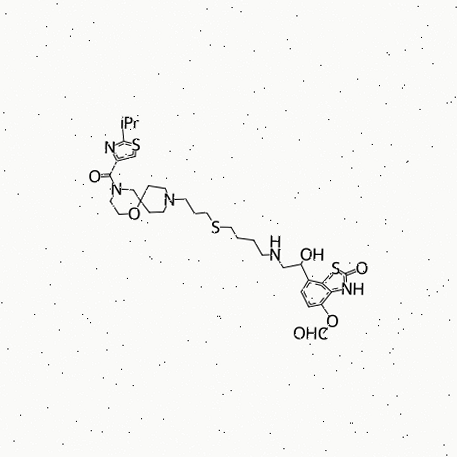 CC(C)c1nc(C(=O)N2CCOC3(CCN(CCCSCCCCNCC(O)c4ccc(OC=O)c5[nH]c(=O)sc45)CC3)C2)cs1